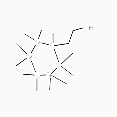 C[Si]1(C)[Si](C)(C)[Si](C)(C)[Si](C)(CC[SiH3])[Si](C)(C)[Si]1(C)C